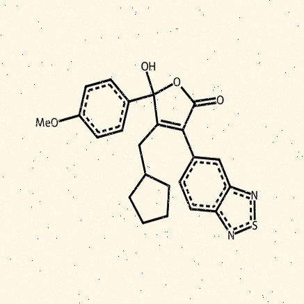 COc1ccc(C2(O)OC(=O)C(c3ccc4nsnc4c3)=C2CC2CCCC2)cc1